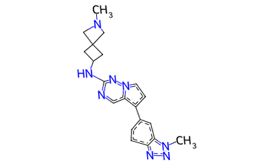 CN1CC2(CC(Nc3ncc4c(-c5ccc6nnn(C)c6c5)ccn4n3)C2)C1